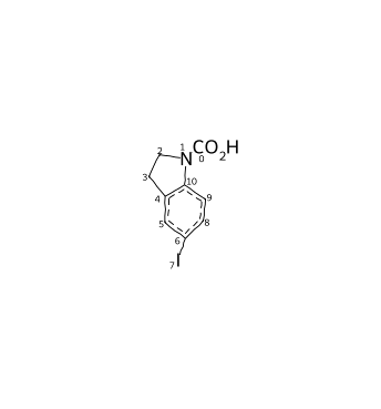 O=C(O)N1CCc2cc(I)ccc21